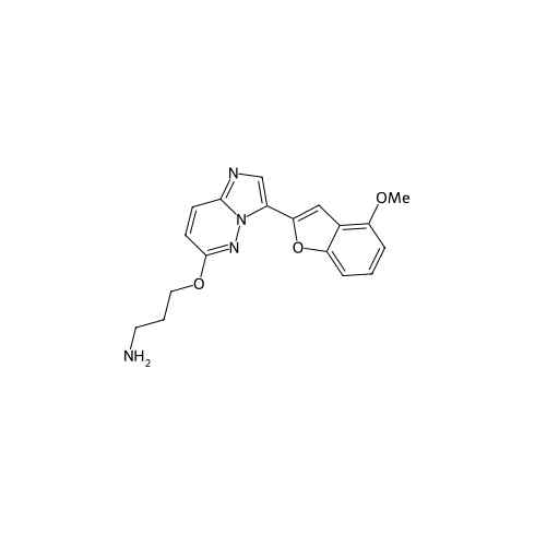 COc1cccc2oc(-c3cnc4ccc(OCCCN)nn34)cc12